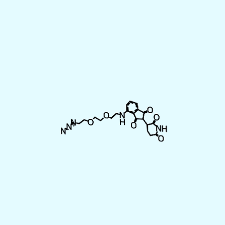 [N-]=[N+]=NCCOCCOCCNc1cccc2c1C(=O)C(C1CCC(=O)NC1=O)C2=O